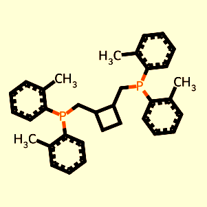 Cc1ccccc1P(CC1CCC1CP(c1ccccc1C)c1ccccc1C)c1ccccc1C